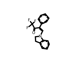 O=C(/C(=C\N1CCc2ccccc21)c1ccccc1)C(F)(F)F